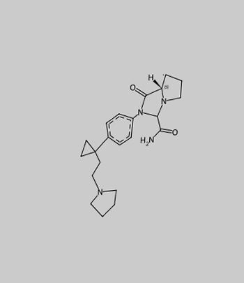 NC(=O)C1N(c2ccc(C3(CCN4CCCC4)CC3)cc2)C(=O)[C@@H]2[CH]CCN12